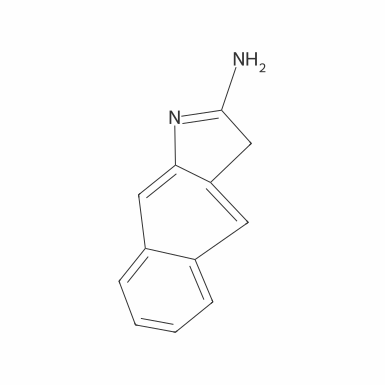 NC1=Nc2cc3ccccc3cc2C1